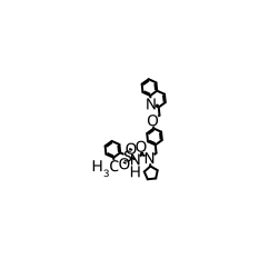 Cc1ccccc1S(=O)(=O)NC(=O)N(Cc1ccc(OCc2ccc3ccccc3n2)cc1)C1CCCC1